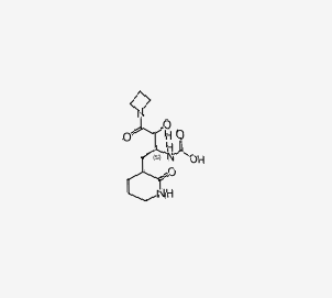 O=C(O)N[C@@H](CC1CCCNC1=O)C(O)C(=O)N1CCC1